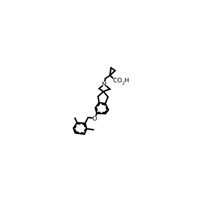 Cc1cccc(C)c1COc1ccc2c(c1)CC1(C2)CN(CC2(C(=O)O)CC2)C1